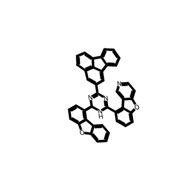 c1ccc2c(c1)-c1cccc3cc(C4=NC(c5cccc6oc7ccccc7c56)NC(c5cccc6oc7ccncc7c56)=N4)cc-2c13